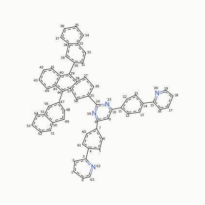 c1ccc(-c2ccc(-c3cc(-c4ccc(-c5ccccn5)cc4)nc(-c4ccc5c(-c6ccc7ccccc7c6)c6ccccc6c(-c6ccc7ccccc7c6)c5c4)n3)cc2)nc1